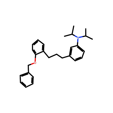 CC(C)N(c1cccc(CCCc2c[c]ccc2OCc2ccccc2)c1)C(C)C